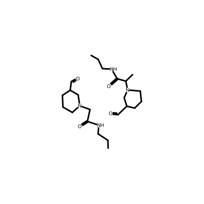 CCCNC(=O)C(C)N1CCCC(C=O)C1.CCCNC(=O)CN1CCCC(C=O)C1